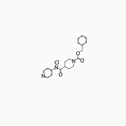 O=C(OCc1ccccc1)N1CCC(C(=O)N(Cl)c2ccncc2)CC1